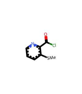 CSc1cccnc1C(=O)Cl